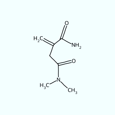 C=C(CC(=O)N(C)C)C(N)=O